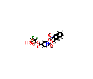 O=C(OCC(F)(F)S(=O)(=O)O)C1CCN(C(=O)OCc2cc3ccccc3cc2[N+](=O)[O-])CC1